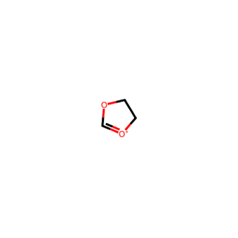 C1=[O+]CCO1